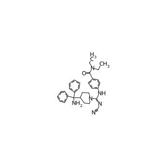 CCN(CC)C(=O)c1ccc(N/C(=N/C#N)N2CCC(C(N)(c3ccccc3)c3ccccc3)CC2)cc1